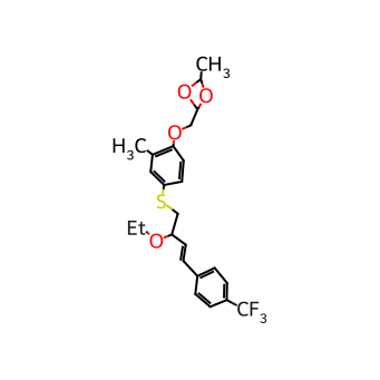 CCOC(/C=C/c1ccc(C(F)(F)F)cc1)CSc1ccc(OCC2OC(C)O2)c(C)c1